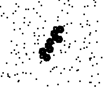 c1ccc2c(c1)oc1cccc(-c3cccc4c3sc3ccc(-n5c6ccccc6c6c7c(ccc65)oc5ccccc57)cc34)c12